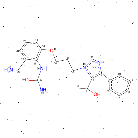 CC(O)c1c(-c2ccccc2)ncn1CCCOc1cccc(CN)c1NC(N)=O